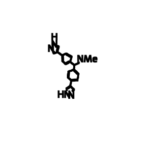 CNCC(c1ccc(-c2cn[nH]c2)cc1)c1ccc(-c2cn[nH]c2)cc1